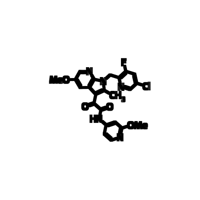 COc1cnc2c(c1)c(C(=O)C(=O)Nc1ccnc(OC)c1)c(C)n2Cc1ncc(Cl)cc1F